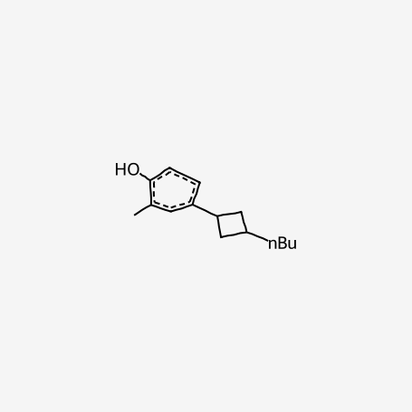 CCCCC1CC(c2ccc(O)c(C)c2)C1